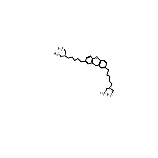 CCN(CC)CCCCCc1ccc2c(c1)Cc1cc(CCCCCN(CC)CC)ccc1S2